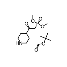 CC(C)(C)OC=O.COP(=O)(CC(=O)C1CCNCC1)OC